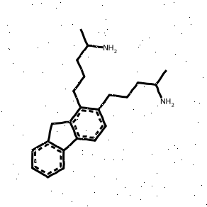 CC(N)CCCc1ccc2c(c1CCCC(C)N)Cc1ccccc1-2